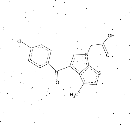 Cc1csc2c1c(C(=O)c1ccc(Cl)cc1)cn2CC(=O)O